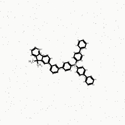 CC1(C)c2cc(-c3cccc(-c4ccc(N(c5ccc(-c6ccccc6)cc5)c5ccc(-c6ccccc6)cc5)cc4)c3)ccc2-c2ncccc21